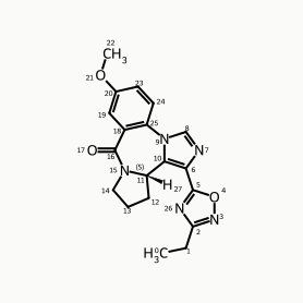 CCc1noc(-c2ncn3c2[C@@H]2CCCN2C(=O)c2cc(OC)ccc2-3)n1